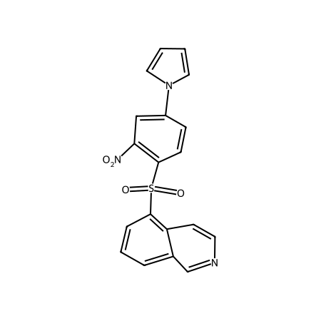 O=[N+]([O-])c1cc(-n2cccc2)ccc1S(=O)(=O)c1cccc2cnccc12